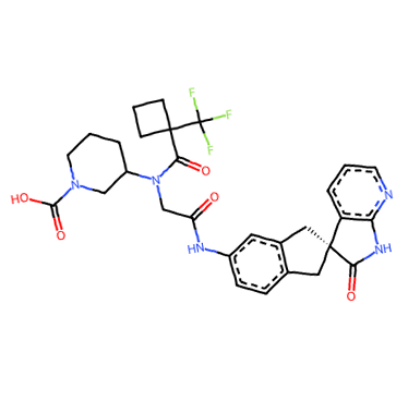 O=C(CN(C(=O)C1(C(F)(F)F)CCC1)C1CCCN(C(=O)O)C1)Nc1ccc2c(c1)C[C@@]1(C2)C(=O)Nc2ncccc21